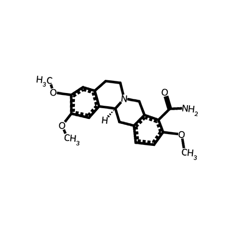 COc1cc2c(cc1OC)[C@@H]1Cc3ccc(OC)c(C(N)=O)c3CN1CC2